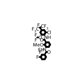 CCN(C(=O)c1cccc(F)c1F)c1cccc(C(=O)Nc2c(Cl)cc(C(F)(C(F)(F)F)C(F)(F)F)cc2OC(F)F)c1OC